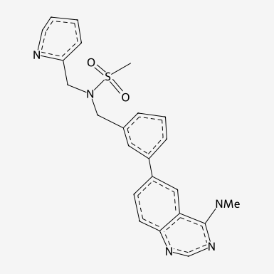 CNc1ncnc2ccc(-c3cccc(CN(Cc4ccccn4)S(C)(=O)=O)c3)cc12